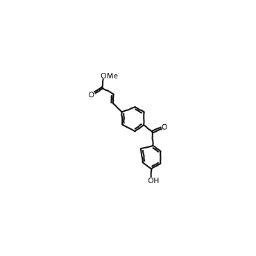 COC(=O)/C=C/c1ccc(C(=O)c2ccc(O)cc2)cc1